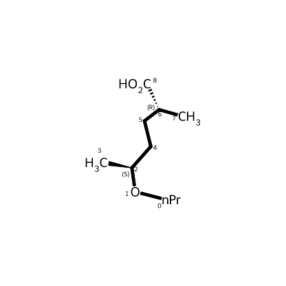 CCCO[C@@H](C)CC[C@@H](C)C(=O)O